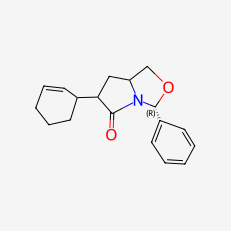 O=C1C(C2C=CCCC2)CC2CO[C@H](c3ccccc3)N12